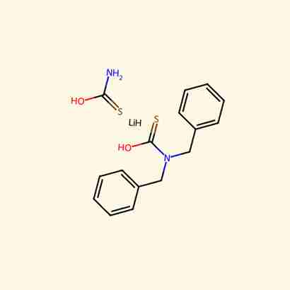 NC(O)=S.OC(=S)N(Cc1ccccc1)Cc1ccccc1.[LiH]